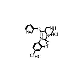 Cl.Cl.O=C(Nc1ccc(Cl)cc1Cl)N1CCNCC1COc1cccnc1